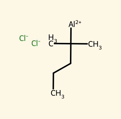 CCC[C](C)(C)[Al+2].[Cl-].[Cl-]